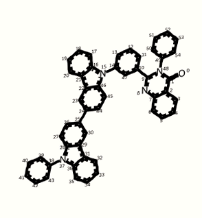 O=c1c2ccccc2nc(-c2cccc(-n3c4ccccc4c4cc(-c5ccc6c(c5)c5ccccc5n6-c5ccccc5)ccc43)c2)n1-c1ccccc1